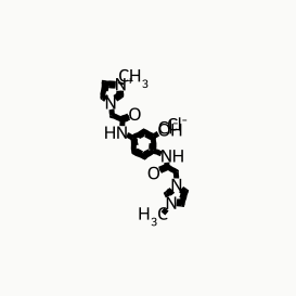 C[n+]1ccn(CC(=O)Nc2ccc(NC(=O)Cn3cc[n+](C)c3)c(O)c2)c1.[Cl-].[Cl-]